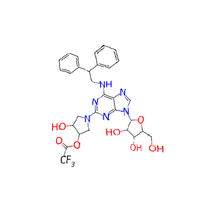 O=C(OC1CN(c2nc(NCC(c3ccccc3)c3ccccc3)c3ncn(C4OC(CO)C(O)C4O)c3n2)CC1O)C(F)(F)F